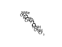 CNC(=O)c1ccc(N2CCN(Cc3ccnc(NC(=O)NCC(F)(F)F)c3)CC2)c(C)n1